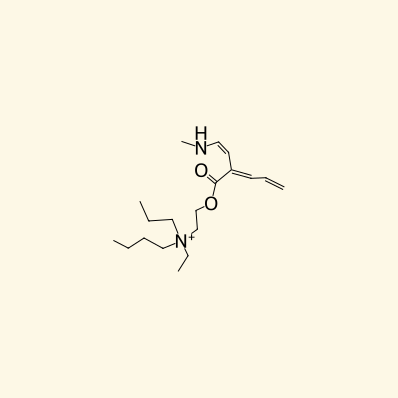 C=C/C=C(\C=C/NC)C(=O)OCC[N+](CC)(CCC)CCCC